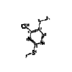 [CH2]Cc1cnc(SC)nc1Cl